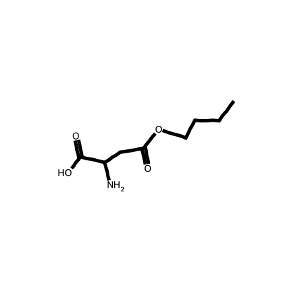 CCCCOC(=O)CC(N)C(=O)O